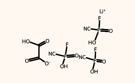 N#CP(=O)(O)F.N#CP(=O)(O)F.N#CP(=O)(O)F.O=C([O-])C(=O)O.[Li+]